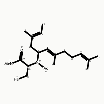 CC=C(C)CC(C=C(C)CCC=C(C)C)N(C(C)=O)[C@@H](CS)C(=O)NC